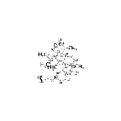 CC1=C2OC(C)(C(=O)N3CCN(CCN=O)CC3)CCC2C(C(C)C)C(N=O)=C1C(C)C